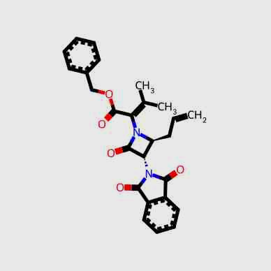 C=CC[C@H]1[C@H](N2C(=O)c3ccccc3C2=O)C(=O)N1C(C(=O)OCc1ccccc1)=C(C)C